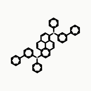 C1=Cc2ccc(N(c3ccccc3)c3cccc(-c4ccccc4)c3)c3c2C2C1=C(N(c1ccccc1)c1cccc(-c4ccccc4)c1)C=CC2C=C3